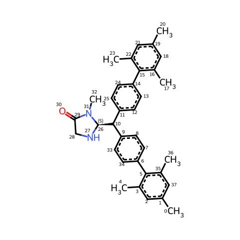 Cc1cc(C)c(-c2ccc(C(c3ccc(-c4c(C)cc(C)cc4C)cc3)[C@H]3NCC(=O)N3C)cc2)c(C)c1